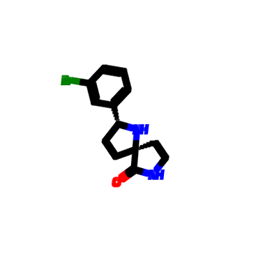 O=C1NCC[C@@]12CC[C@H](c1cccc(Br)c1)N2